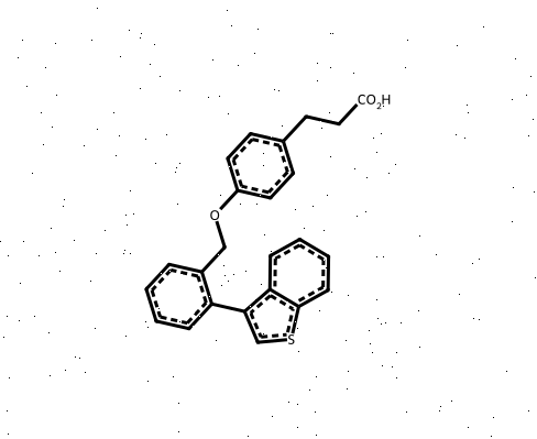 O=C(O)CCc1ccc(OCc2ccccc2-c2csc3ccccc23)cc1